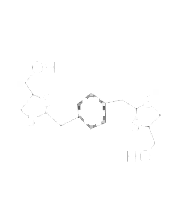 OCC1CSC(Cc2ccc(CC3SCC(CO)S3)cc2)S1